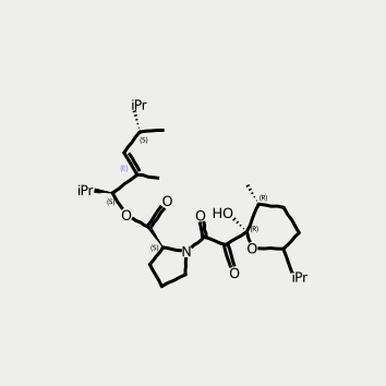 C/C(=C\[C@@H](C)C(C)C)[C@@H](OC(=O)[C@@H]1CCCN1C(=O)C(=O)[C@]1(O)OC(C(C)C)CC[C@H]1C)C(C)C